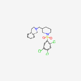 O=S(=O)(c1cc(Cl)c(Cl)cc1Cl)N1CCCC(CN2CCc3ccccc3C2)C1